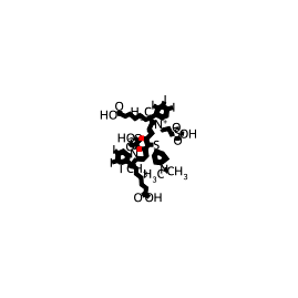 CN(C)c1ccc(SC2=C(/C=C/C3=[N+](CCCS(=O)(=O)O)c4cc(I)c(I)c(I)c4C3(C)CCCCCC(=O)O)CCC/C2=C\C=C2/N(CS(=O)(=O)O)c3cc(I)c(I)c(I)c3C2(C)CCCCCC(=O)O)cc1